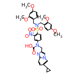 COc1ccc(CN(Cc2ccc(OC)cc2OC)S(=O)(=O)c2ccc(N(Cc3cn4cc(C5CC5)ccc4n3)C(=O)O)cc2[N+](=O)[O-])c(OC)c1